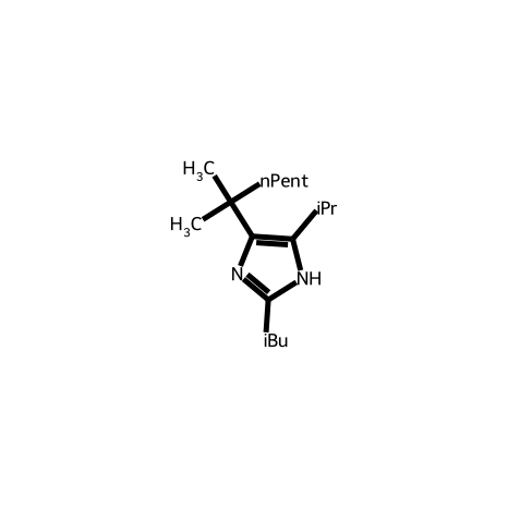 CCCCCC(C)(C)c1nc(C(C)CC)[nH]c1C(C)C